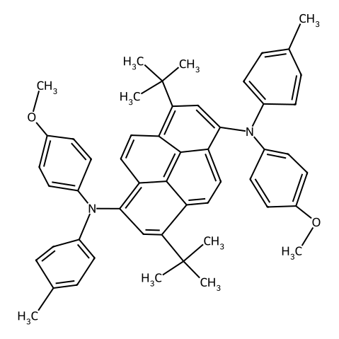 COc1ccc(N(c2ccc(C)cc2)c2cc(C(C)(C)C)c3ccc4c(N(c5ccc(C)cc5)c5ccc(OC)cc5)cc(C(C)(C)C)c5ccc2c3c45)cc1